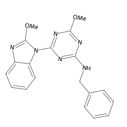 COc1nc(NCc2ccccc2)nc(-n2c(OC)nc3ccccc32)n1